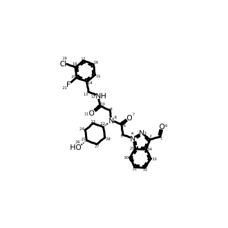 O=Cc1nn(CC(=O)N(CC(=O)NCc2cccc(Cl)c2F)[C@H]2CC[C@@H](O)CC2)c2ccccc12